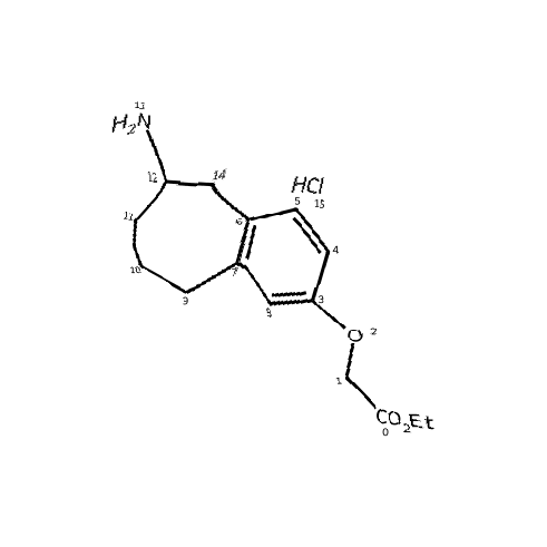 CCOC(=O)COc1ccc2c(c1)CCCC(N)C2.Cl